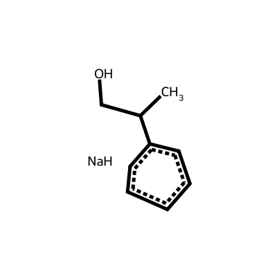 CC(CO)c1ccccc1.[NaH]